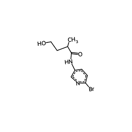 CC(CCO)C(=O)Nc1ccc(Br)nc1